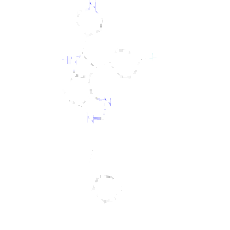 Fc1ccc(-c2c(-c3ccncc3)[nH]c3ccc4c(ncn4CCCc4ccccc4)c23)cc1